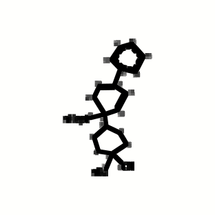 CCCCCCCC1(C2CCC(C#N)(CCCC)CC2)C=CC(c2ccccc2)=CC1